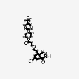 O=C(CCOCCc1cc(Cl)cc2c(=O)[nH]ncc12)N1CCN(c2ncc(C(F)(F)F)cn2)CC1